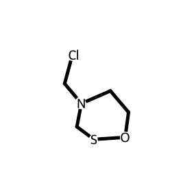 ClCN1CCOSC1